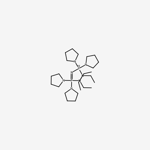 CCN(CC)P(=N[PH](N(CC)CC)(N1CCCC1)N1CCCC1)(N1CCCC1)N1CCCC1